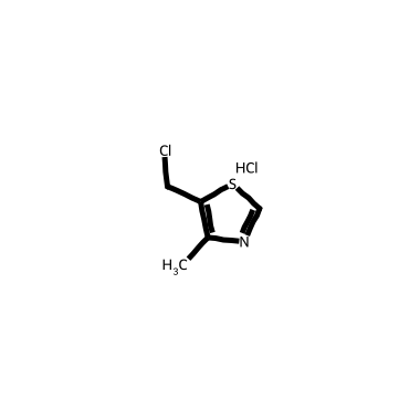 Cc1ncsc1CCl.Cl